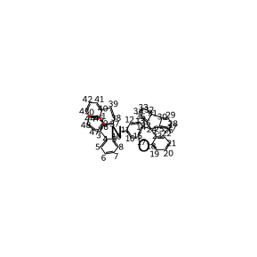 c1ccc(-c2ccccc2N(c2ccc3c(c2)Oc2ccccc2C32c3ccccc3-c3ccccc32)c2ccc3ccccc3c2)cc1